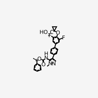 C[C@@H](OC(=O)Nc1c(-c2ccc(-c3cc(F)c(OC4(C(=O)O)CC4)c(F)c3)cc2)cnn1C)c1ccccc1